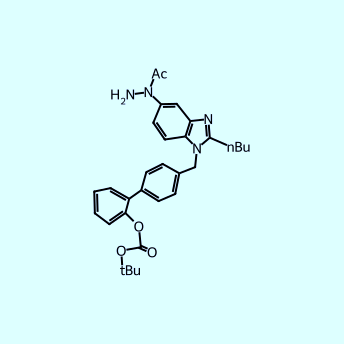 CCCCc1nc2cc(N(N)C(C)=O)ccc2n1Cc1ccc(-c2ccccc2OC(=O)OC(C)(C)C)cc1